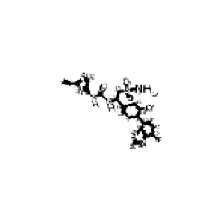 C#Cc1nc(NC(=O)NC(CS(N)(=O)=O)c2ccc(-c3ccc(F)c4ncsc34)c(Cl)c2)cs1